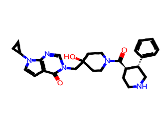 O=C([C@@H]1CCNC[C@H]1c1ccccc1)N1CCC(O)(Cn2cnc3c(ccn3C3CC3)c2=O)CC1